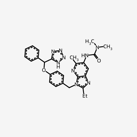 CCc1nc2cc(NC(=O)N(C)C)c(C)nc2n1Cc1ccc(OC(c2ccccc2)c2nnn[nH]2)cc1